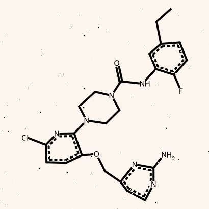 CCc1ccc(F)c(NC(=O)N2CCN(c3nc(Cl)ccc3OCc3ccnc(N)n3)CC2)c1